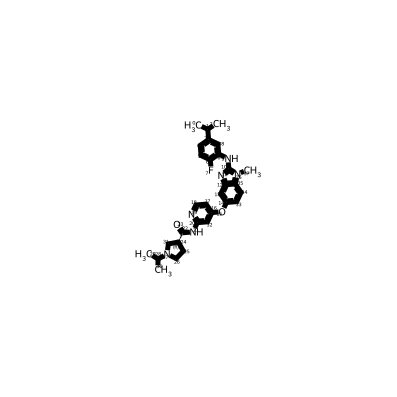 CC(C)c1ccc(F)c(Nc2nc3cc(Oc4ccnc(NC(=O)[C@@H]5CCN(C(C)C)C5)c4)ccc3n2C)c1